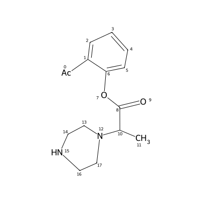 CC(=O)c1ccccc1OC(=O)C(C)N1CCNCC1